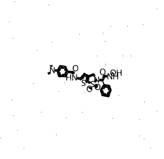 CN(C)c1ccc(C(=O)Nc2cc3c(s2)S(=O)(=O)N([C@@H](C(=O)NO)c2ccccc2)C3)cc1